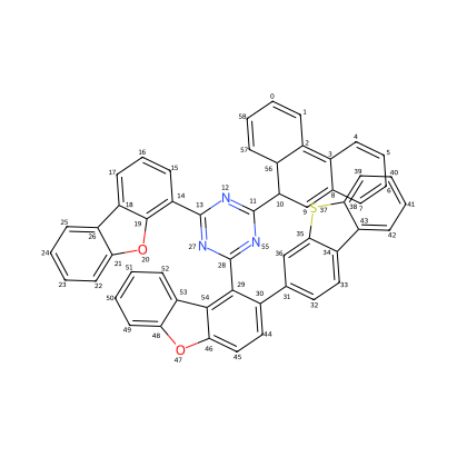 C1=CC2=c3ccccc3=CC(c3nc(-c4cccc5c4oc4ccccc45)nc(-c4c(-c5ccc6c(c5)sc5ccccc56)ccc5oc6ccccc6c45)n3)C2C=C1